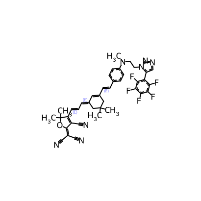 CN(CCn1nncc1-c1c(F)c(F)c(F)c(F)c1F)c1ccc(/C=C/C2=CC(=C/C=C/C3=C(C#N)C(=C(C#N)C#N)OC3(C)C)/CC(C)(C)C2)cc1